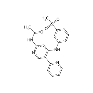 CC(=O)Nc1cc(Nc2cccc(S(C)(=O)=O)c2)c(-c2ccccn2)cn1